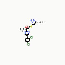 N[C@@H](CCSCCC(O)(c1ncc(-c2ccc(Cl)cc2Cl)cn1)C(F)(F)F)C(=O)O